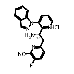 Cl.N#Cc1nc(C[C@H](N)c2ncccc2-n2ncc3ccccc32)ccc1F